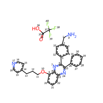 NCc1ccc(-c2nc3c(OCCCc4ccncc4)cccc3nc2-c2ccccc2)cc1.O=C(O)C(F)(F)F